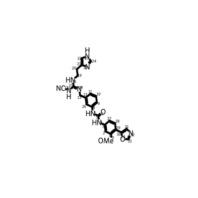 COc1cc(NC(=O)Nc2cccc(C/N=C(\NC#N)NCCc3c[nH]cn3)c2)ccc1-c1cnco1